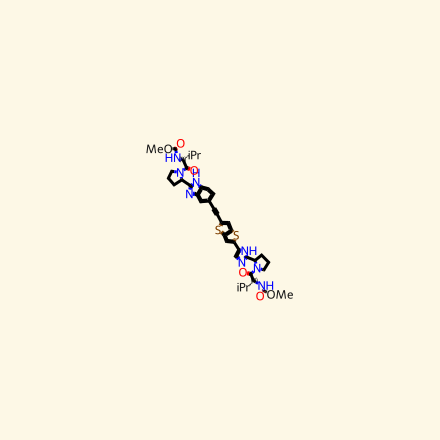 COC(=O)N[C@@H](C(=O)N1CCCC1c1ncc(-c2cc3sc(C#Cc4ccc5[nH]c(C6CCCN6C(=O)[C@H](NC(=O)OC)C(C)C)nc5c4)cc3s2)[nH]1)C(C)C